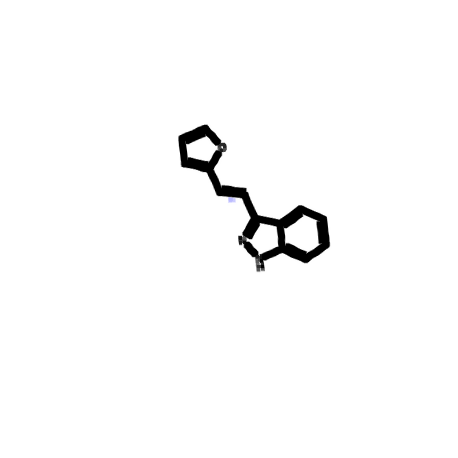 C(=C\c1n[nH]c2ccccc12)/c1ccco1